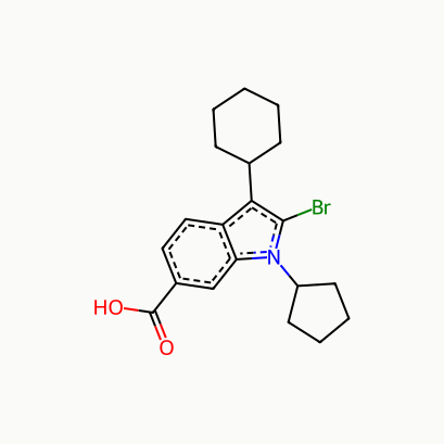 O=C(O)c1ccc2c(C3CCCCC3)c(Br)n(C3CCCC3)c2c1